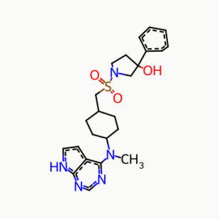 CN(c1ncnc2[nH]ccc12)C1CCC(CS(=O)(=O)N2CCC(O)(c3ccccc3)C2)CC1